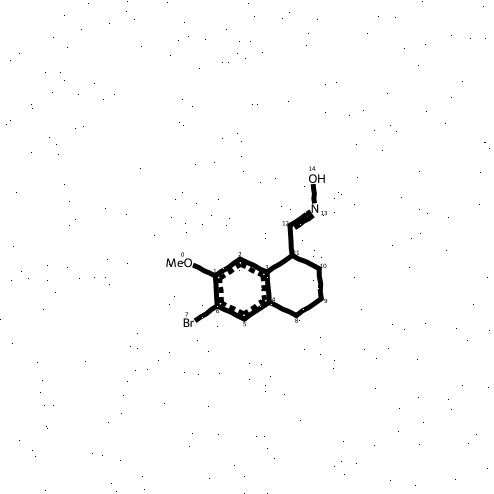 COc1cc2c(cc1Br)CCCC2C=NO